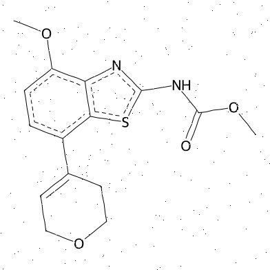 COC(=O)Nc1nc2c(OC)ccc(C3=CCOCC3)c2s1